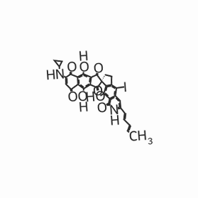 C/C=C/C=C/c1cc2c(I)c3c(c(O)c2c(=O)[nH]1)[C@@]1(CC3)C(=O)c2c(O)c3c(c(O)c2C1=O)C(=O)C(NC1CC1)=CC3=O